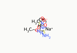 CCCCO/N=C(\C(=O)N[C@H]1C(=O)N2[C@@H]1SC(C)(C)[C@@H]2C(=O)[O-])c1csc(N)n1.[Na+]